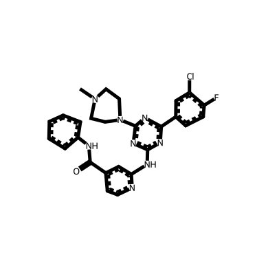 CN1CCN(c2nc(Nc3cc(C(=O)Nc4ccccc4)ccn3)nc(-c3ccc(F)c(Cl)c3)n2)CC1